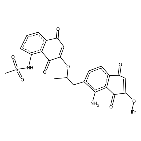 CC(C)OC1=CC(=O)c2ccc(CC(C)OC3=CC(=O)c4cccc(NS(C)(=O)=O)c4C3=O)c(N)c2C1=O